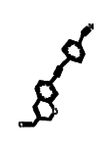 N#Cc1ccc(C#Cc2ccc3c(c2)OCC(C=O)=C3)cc1